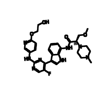 COC[C@H](C(=O)Nc1cccc2c(-c3nc(Nc4ccc(OCCO)nc4)ncc3F)c[nH]c12)N1CCN(C)CC1